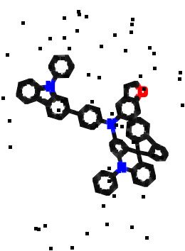 c1ccc(N2c3ccccc3C3(c4ccccc4-c4ccccc43)c3cc(N(c4ccc(-c5ccc6c7ccccc7n(-c7ccccc7)c6c5)cc4)c4ccc5occc5c4)ccc32)cc1